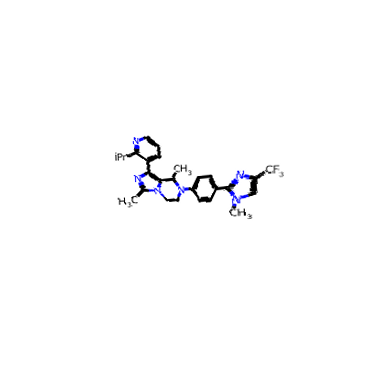 Cc1nc(-c2cccnc2C(C)C)c2n1CCN(c1ccc(-c3nc(C(F)(F)F)cn3C)cc1)C2C